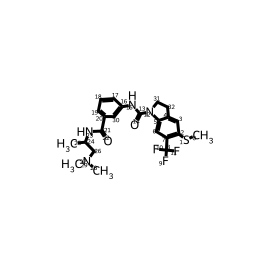 CSc1cc2c(cc1C(F)(F)F)N(C(=O)Nc1cccc(C(=O)NC(C)CN(C)C)c1)CC2